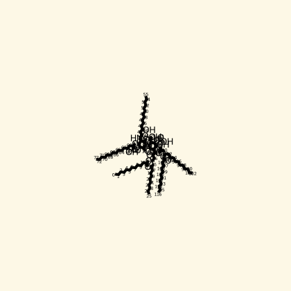 CCCCCCCCCCCC(=O)O[C@H](CCCCCCCCCCC)CC(=O)NC1[C@H](OCC2OC(O)C(NC(=O)C[C@H](O)CCCCCCCCCCC)[C@@H](OC(=O)C[C@H](O)CCCCCCCCCCC)[C@@H]2O)OC(CO)[C@@H](OP(=O)(O)O)[C@@H]1OC(=O)C[C@@H](CCCCCCCCCCC)OC(=O)CCCCCCCCCCC